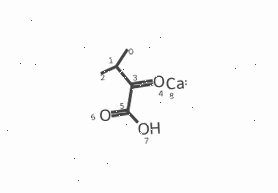 CC(C)C(=O)C(=O)O.[Ca]